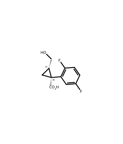 O=C(O)[C@]1(c2cc(F)ccc2F)C[C@@H]1CO